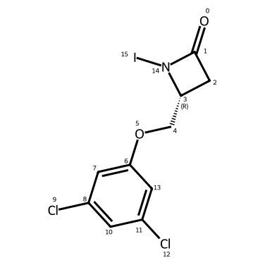 O=C1C[C@H](COc2cc(Cl)cc(Cl)c2)N1I